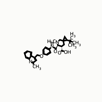 Cc1cc(COc2ccc(NC(=O)[C@@H]3[C@@H](C(=O)O)CC4(CC4C(C)(C)C)CN3C)cc2)c2ccccc2n1